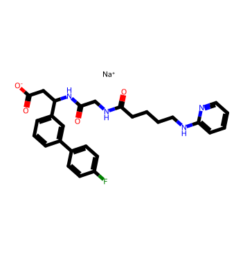 O=C([O-])CC(NC(=O)CNC(=O)CCCCNc1ccccn1)c1cccc(-c2ccc(F)cc2)c1.[Na+]